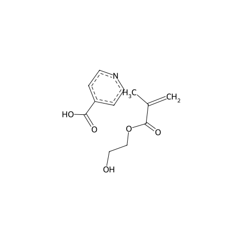 C=C(C)C(=O)OCCO.O=C(O)c1ccncc1